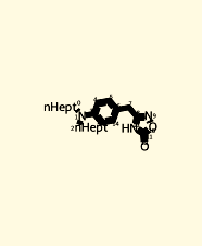 CCCCCCCN(CCCCCCC)c1ccc(Cc2noc(=O)[nH]2)cc1